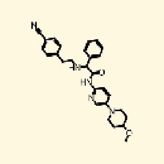 COC1CCN(c2ccc(NC(=O)C(NCCc3ccc(C#N)cc3)c3ccccc3)nc2)CC1